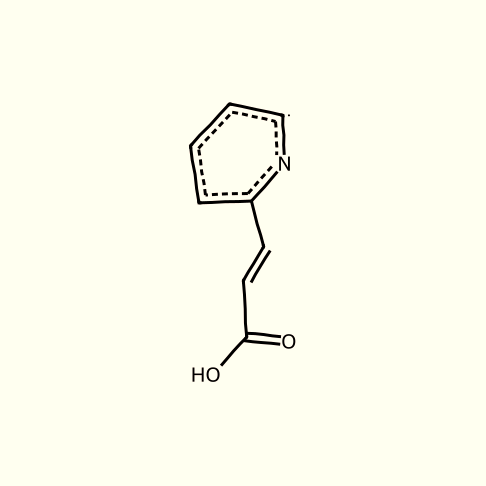 O=C(O)C=Cc1ccc[c]n1